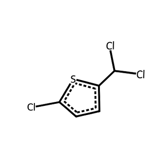 Clc1ccc(C(Cl)Cl)s1